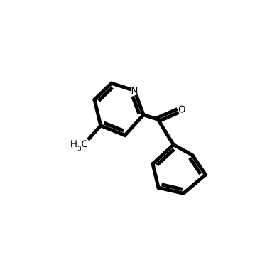 Cc1ccnc(C(=O)c2ccccc2)c1